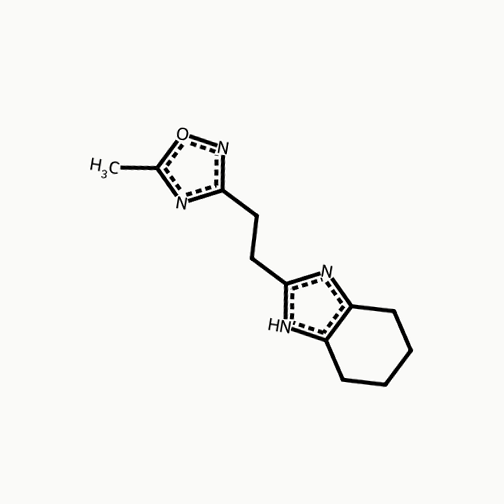 Cc1nc(CCc2nc3c([nH]2)CCCC3)no1